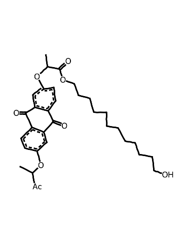 CC(=O)C(C)Oc1ccc2c(c1)C(=O)c1ccc(OC(C)C(=O)OCCCCCCCCCCCCO)cc1C2=O